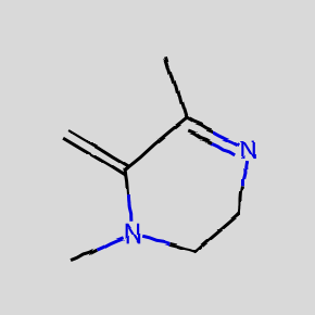 C=C1C(C)=NCCN1C